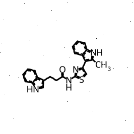 Cc1[nH]c2ccccc2c1-c1csc(NC(=O)CCc2c[nH]c3ccccc23)n1